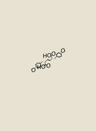 COc1ccc(C[C@H](/C=C/[C@@H](Cc2ccc(OC)cc2)C(=O)O)C(=O)O)cc1